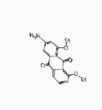 CCOc1cccc2c1C(=O)c1c(OCC)cc(N)cc1C2=O